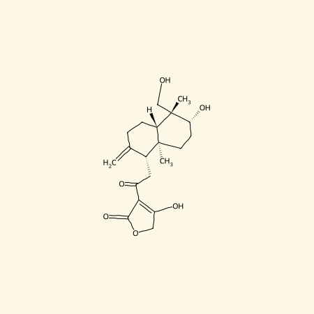 C=C1CC[C@@H]2[C@](C)(CO)[C@H](O)CC[C@@]2(C)[C@@H]1CC(=O)C1=C(O)COC1=O